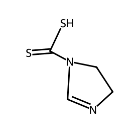 S=C(S)N1C=NCC1